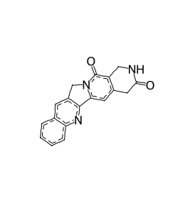 O=C1Cc2cc3n(c(=O)c2CN1)Cc1cc2ccccc2nc1-3